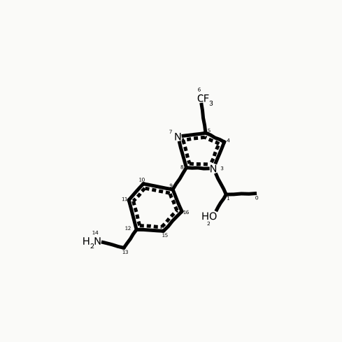 CC(O)n1cc(C(F)(F)F)nc1-c1ccc(CN)cc1